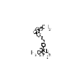 CCOC(=O)C1CC(CCCc2ccc(C(=O)OC(C)(C)C)cc2)CCC1=O